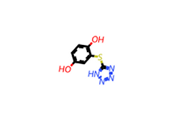 Oc1ccc(O)c(Sc2nnn[nH]2)c1